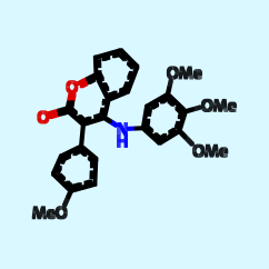 COc1ccc(-c2c(Nc3cc(OC)c(OC)c(OC)c3)c3ccccc3oc2=O)cc1